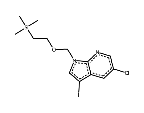 C[Si](C)(C)CCOCn1cc(I)c2cc(Cl)cnc21